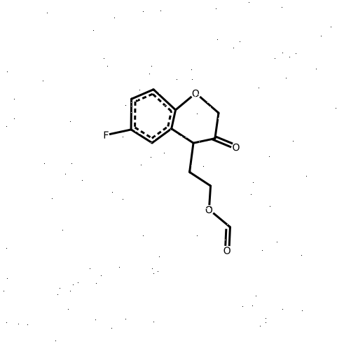 O=COCCC1C(=O)COc2ccc(F)cc21